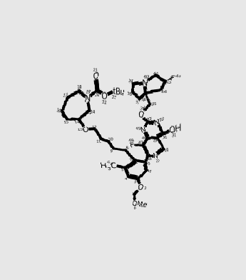 COCOc1cc(C)c(CCCCCOC2CCCCN(C(=O)OC(C)(C)C)C2)c(-c2ncc3c(O)nc(OC[C@@]45CCCN4C[C@H](F)C5)nc3c2F)c1